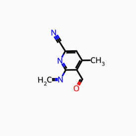 C=Nc1nc(C#N)cc(C)c1C=O